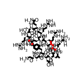 CC(C)C[C@H](NC(=O)[C@H](CC(=O)O)NC(=O)[C@H](Cc1ccc(O)cc1)NC(=O)[C@H](C)NC(=O)CN)C(=O)N[C@@H](CCCNC(=N)N)C(=O)N[C@@H](CCCNC(=N)N)C(=O)N[C@@H](CCCNC(=N)N)C(=O)N[C@@H](CCC(=O)O)C(=O)N[C@@H](CCCNC(=N)N)C(=O)N[C@@H](CCC(N)=O)C(=O)N[C@@H](CO)C(=O)N[C@@H](CCCNC(=N)N)C(=O)O